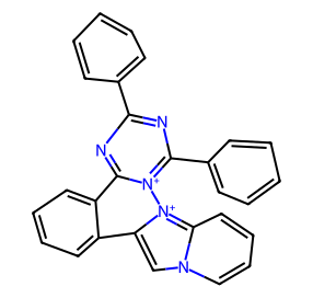 c1ccc(-c2nc(-c3ccccc3)[n+]3c(n2)c2ccccc2c2cn4ccccc4[n+]23)cc1